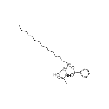 CCCCCCCCCCCCCCC[C@@H](OC(=O)c1ccccc1)[C@H](CO)NC(C)=O